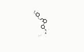 CCOC(=O)c1cccc(-c2cccc3cc(Cc4ccc5c(c4)CCO5)sc23)c1